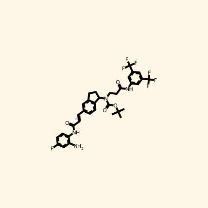 CC(C)(C)OC(=O)N(CCC(=O)Nc1cc(C(F)(F)F)cc(C(F)(F)F)c1)C1CCc2cc(/C=C/C(=O)Nc3ccc(F)cc3N)ccc21